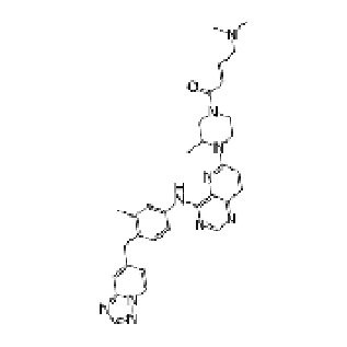 Cc1cc(Nc2ncnc3ccc(N4CCN(C(=O)/C=C/CN(C)C)CC4C)nc23)ccc1Cc1ccn2ncnc2c1